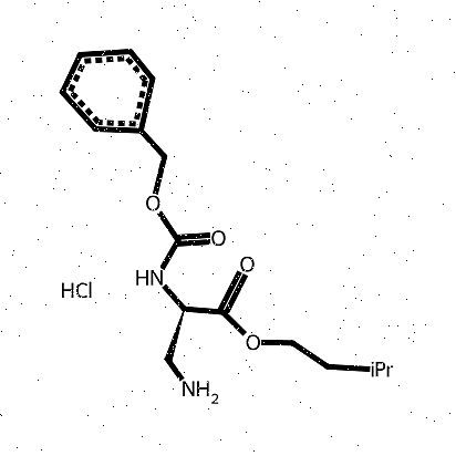 CC(C)CCOC(=O)[C@@H](CN)NC(=O)OCc1ccccc1.Cl